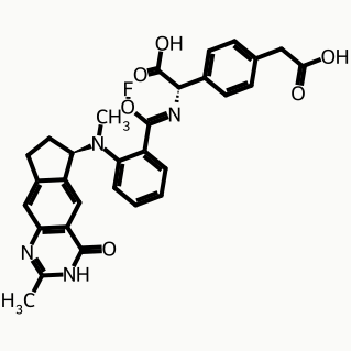 Cc1nc2cc3c(cc2c(=O)[nH]1)[C@H](N(C)c1ccccc1C(=N[C@H](C(=O)O)c1ccc(CC(=O)O)cc1)OF)CC3